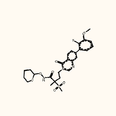 COc1cccc(-c2ccc3c(=O)n(CCC(C)(C(=O)NOC4CCCCO4)S(C)(=O)=O)cnc3c2)c1F